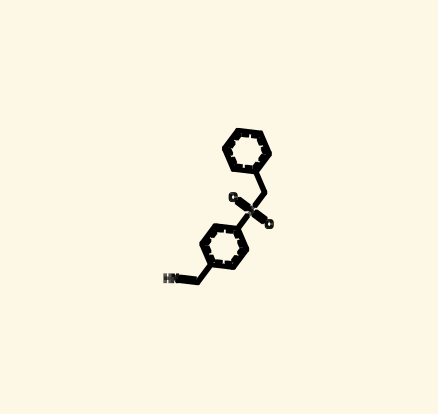 N=Cc1ccc(S(=O)(=O)Cc2ccccc2)cc1